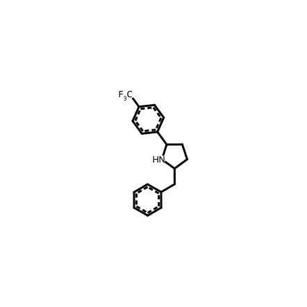 FC(F)(F)c1ccc(C2CCC(Cc3ccccc3)N2)cc1